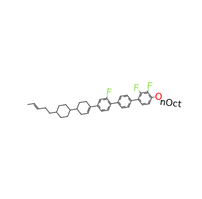 C/C=C/CCC1CCC(C2CC=C(c3ccc(-c4ccc(-c5ccc(OCCCCCCCC)c(F)c5F)cc4)c(F)c3)CC2)CC1